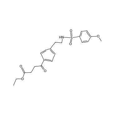 CCOC(=O)CCC(=O)c1ccc(CCNS(=O)(=O)c2ccc(OC)cc2)cc1